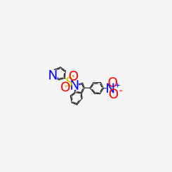 O=[N+]([O-])c1ccc(-c2cn(S(=O)(=O)c3cccnc3)c3ccccc23)cc1